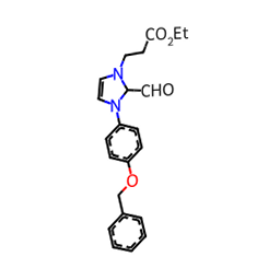 CCOC(=O)CCN1C=CN(c2ccc(OCc3ccccc3)cc2)C1C=O